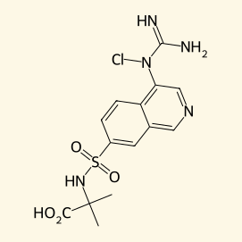 CC(C)(NS(=O)(=O)c1ccc2c(N(Cl)C(=N)N)cncc2c1)C(=O)O